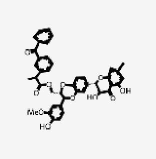 COc1cc(C2Oc3cc([C@@H]4Oc5cc(C)cc(O)c5C(=O)C4O)ccc3O[C@H]2COC(=O)C(C)c2cccc(C(=O)c3ccccc3)c2)ccc1O